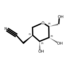 N#CC[C@H]1CO[C@H](CO)[C@H](O)[C@@H]1O